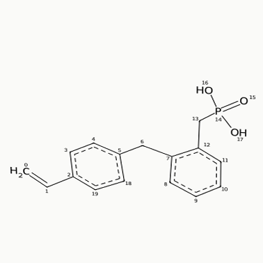 C=Cc1ccc(Cc2ccccc2CP(=O)(O)O)cc1